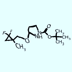 CC(C)(C)OC(=O)N1C=CC(OCC2(C)CC2(F)F)N1